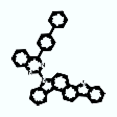 c1ccc(-c2ccc(-c3nc(-n4c5ccccc5c5c6ccc7c8ccccc8sc7c6ccc54)nc4ccccc34)cc2)cc1